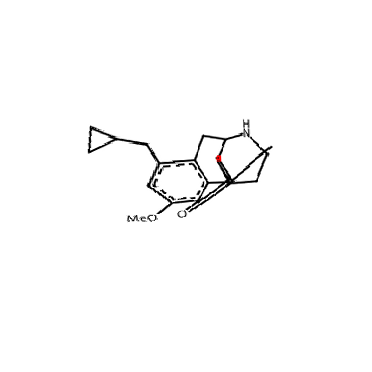 COc1cc(CC2CC2)c2c(c1)C13CCNC(C2)C1CCC(=O)C3